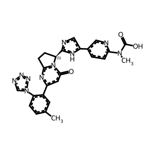 Cc1ccc(-n2cnnn2)c(-c2cc(=O)n3c(n2)CC[C@H]3c2ncc(-c3ccc(N(C)C(=O)O)nc3)[nH]2)c1